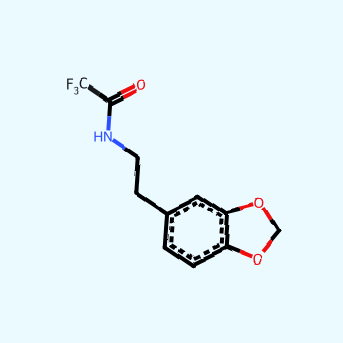 O=C(NCCc1ccc2c(c1)OCO2)C(F)(F)F